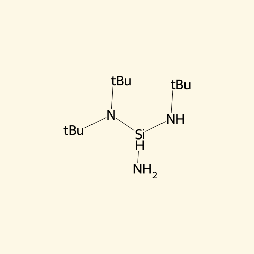 CC(C)(C)N[SiH](N)N(C(C)(C)C)C(C)(C)C